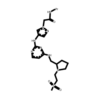 CC(C)NC(=O)Cn1cc(Nc2nccc(NCC3CCCN3CCS(C)(=O)=O)n2)cn1